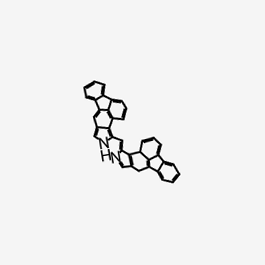 C1=CC2C3=C(CC4=C2/C(=C/c2[nH]cc5cc6c7c(cccc7c25)-c2ccccc2-6)N=C4)c2ccccc2C3=C1